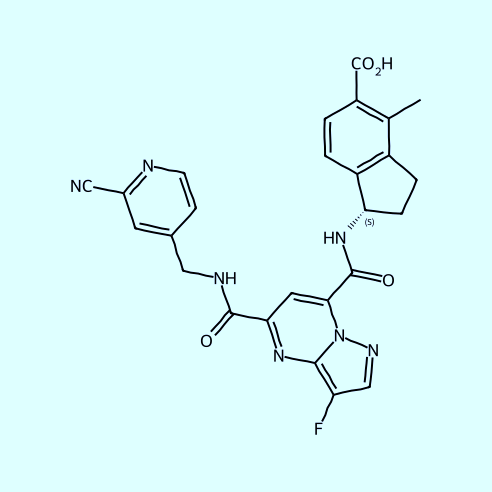 Cc1c(C(=O)O)ccc2c1CC[C@@H]2NC(=O)c1cc(C(=O)NCc2ccnc(C#N)c2)nc2c(F)cnn12